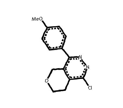 COc1ccc(-c2nnc(Cl)c3c2COCC3)cc1